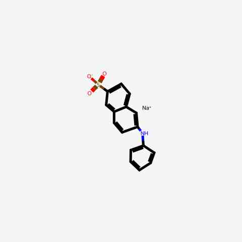 O=S(=O)([O-])c1ccc2cc(Nc3ccccc3)ccc2c1.[Na+]